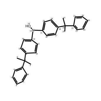 CC(C)(c1ccccc1)c1ccc(N(O)c2ccc(C(C)(C)c3ccccc3)cc2)cc1